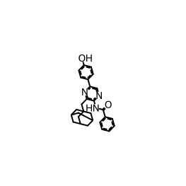 O=C(Nc1ncc(-c2ccc(O)cc2)nc1CC12CC3CC(CC(C3)C1)C2)c1ccccc1